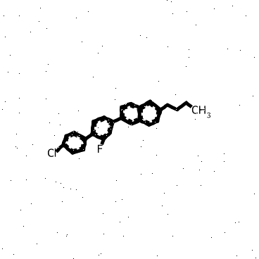 CCCCc1ccc2cc(-c3ccc(-c4ccc(Cl)cc4)c(F)c3)ccc2c1